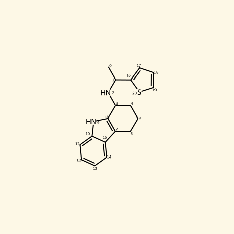 CC(NC1CCCc2c1[nH]c1ccccc21)c1cccs1